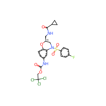 O=C(Nc1ccc2c(c1)N(S(=O)(=O)c1ccc(F)cc1)C[C@H](CNC(=O)C1CC1)O2)OCC(Cl)(Cl)Cl